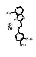 COc1ccc(C=Cc2nc3cccc(C(=O)O)c3[nH]2)cc1OC.O=[N+]([O-])O